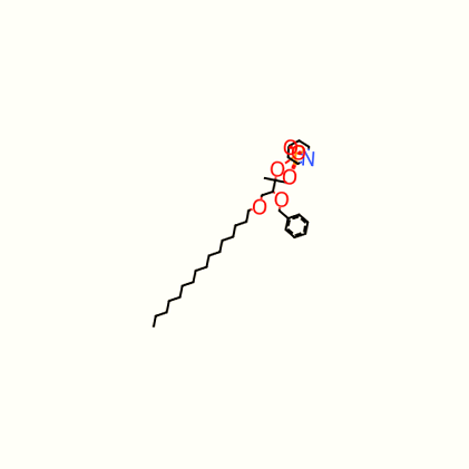 CCCCCCCCCCCCCCCCOCC(OCc1ccccc1)C(C)(C)OP1(=O)OC2CCN(CC2)O1